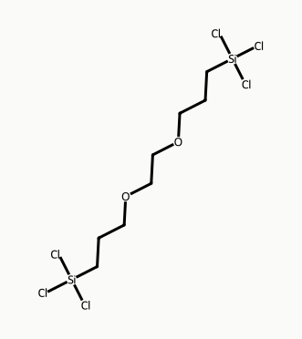 Cl[Si](Cl)(Cl)CCCOCCOCCC[Si](Cl)(Cl)Cl